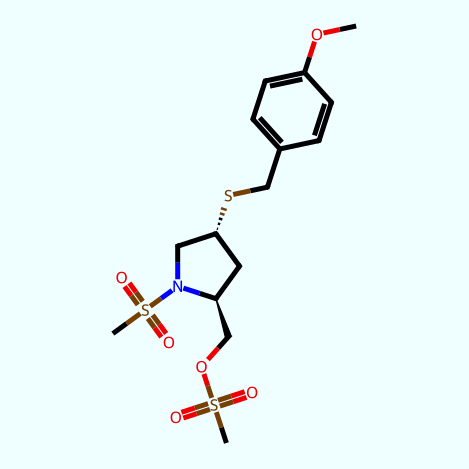 COc1ccc(CS[C@@H]2C[C@@H](COS(C)(=O)=O)N(S(C)(=O)=O)C2)cc1